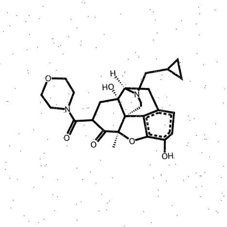 C[C@@]12Oc3c(O)ccc4c3[C@@]13CCN(CC1CC1)[C@H](C4)[C@]3(O)CC(C(=O)N1CCOCC1)C2=O